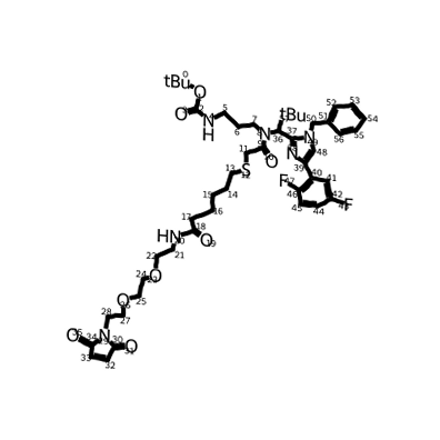 CC(C)(C)OC(=O)NCCCN(C(=O)CSCCCCCC(=O)NCCOCCOCCN1C(=O)C=CC1=O)C(c1nc(-c2cc(F)ccc2F)cn1Cc1ccccc1)C(C)(C)C